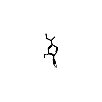 CCC(C)c1ccc(C#N)c(F)c1